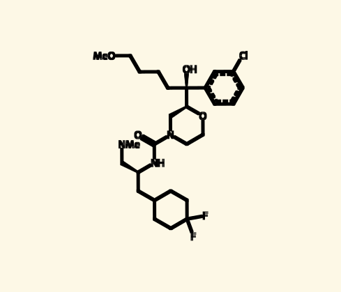 CNC[C@H](CC1CCC(F)(F)CC1)NC(=O)N1CCO[C@H]([C@](O)(CCCCOC)c2cccc(Cl)c2)C1